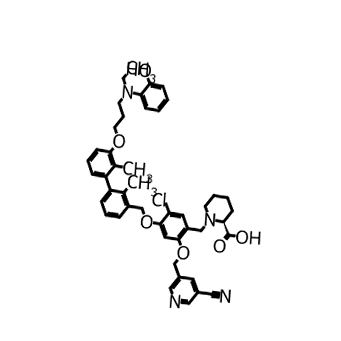 CCN(CCCOc1cccc(-c2cccc(COc3cc(OCc4cncc(C#N)c4)c(CN4CCCC[C@H]4C(=O)O)cc3Cl)c2C)c1C)c1ccccc1O